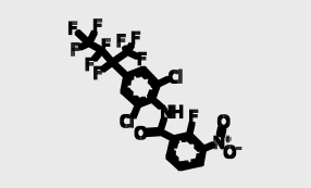 O=C(Nc1c(Cl)cc(C(F)(C(F)(F)F)C(F)(F)C(F)(F)F)cc1Cl)c1cccc([N+](=O)[O-])c1F